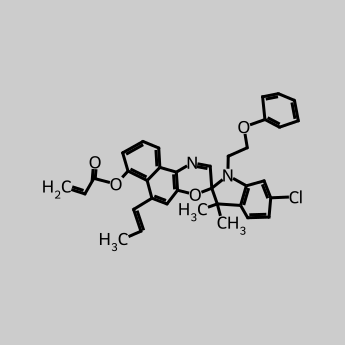 C=CC(=O)Oc1cccc2c3c(cc(/C=C/C)c12)OC1(C=N3)N(CCOc2ccccc2)c2cc(Cl)ccc2C1(C)C